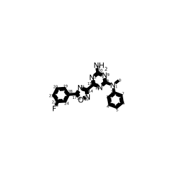 CN(c1ccccc1)c1nc(N)nc(-c2noc(-c3cccc(F)c3)n2)n1